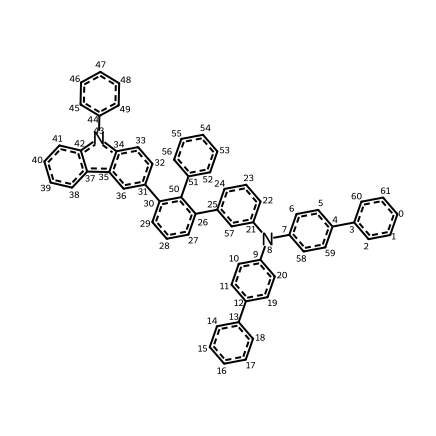 c1ccc(-c2ccc(N(c3ccc(-c4ccccc4)cc3)c3cccc(-c4cccc(-c5ccc6c(c5)c5ccccc5n6-c5ccccc5)c4-c4ccccc4)c3)cc2)cc1